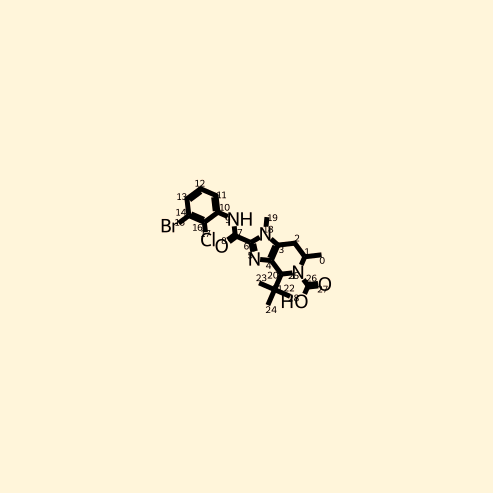 CC1Cc2c(nc(C(=O)Nc3cccc(Br)c3Cl)n2C)C(C(C)(C)C)N1C(=O)O